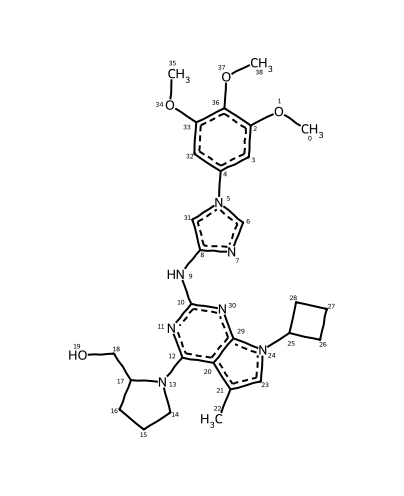 COc1cc(-n2cnc(Nc3nc(N4CCCC4CO)c4c(C)cn(C5CCC5)c4n3)c2)cc(OC)c1OC